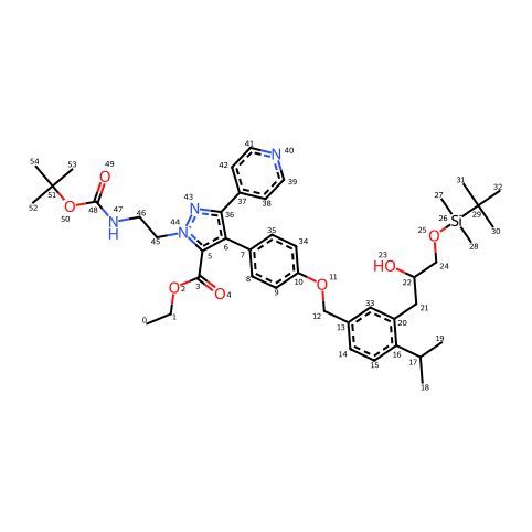 CCOC(=O)c1c(-c2ccc(OCc3ccc(C(C)C)c(CC(O)CO[Si](C)(C)C(C)(C)C)c3)cc2)c(-c2ccncc2)nn1CCNC(=O)OC(C)(C)C